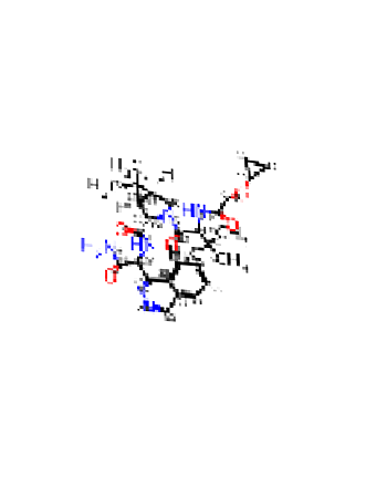 CC(C)(C)C(NC(=O)COC1CC1)C(=O)N1C[C@H]2[C@@H]([C@H]1C(=O)NC(C(N)=O)c1nncc3ccccc13)C2(C)C